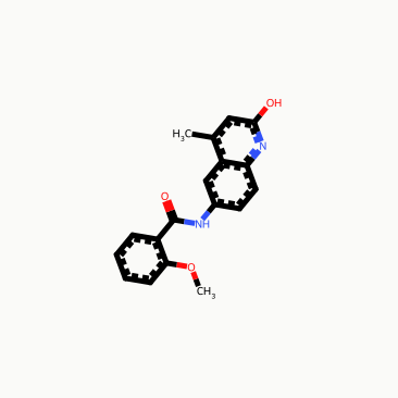 COc1ccccc1C(=O)Nc1ccc2nc(O)cc(C)c2c1